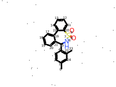 Cc1ccc(C2NS(=O)(=O)c3ccccc3-c3ccccc32)c(C)c1